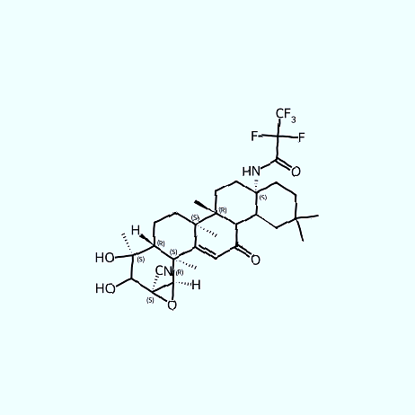 CC1(C)CC[C@]2(NC(=O)C(F)(F)C(F)(F)F)CC[C@]3(C)C(C(=O)C=C4[C@@]5(C)[C@H]6O[C@@]6(C#N)C(O)[C@@](C)(O)[C@@H]5CC[C@]43C)C2C1